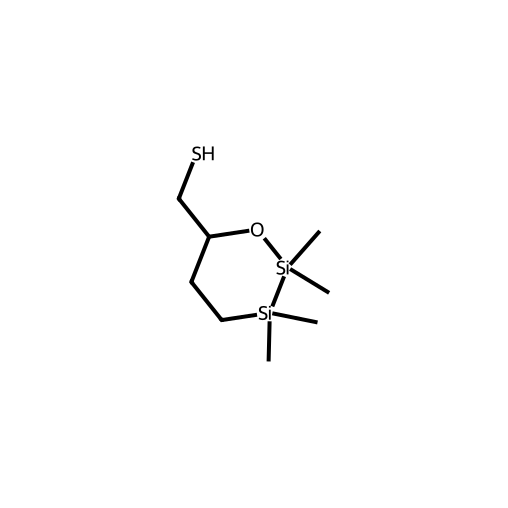 C[Si]1(C)CCC(CS)O[Si]1(C)C